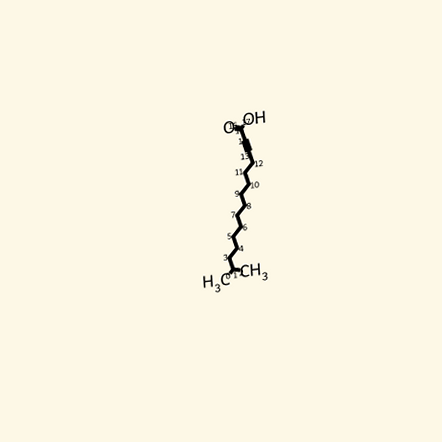 CC(C)CCCCCCCCCCC#CC(=O)O